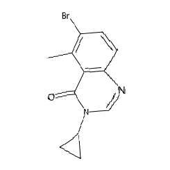 Cc1c(Br)ccc2ncn(C3CC3)c(=O)c12